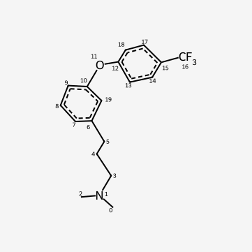 CN(C)CCCc1cccc(Oc2ccc(C(F)(F)F)cc2)c1